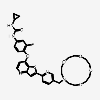 O=C(Nc1ccc(Oc2ccnc3cc(-c4ccc(CN5CCOCCOCCOCCOCC5)cn4)sc23)c(F)c1)NC1CC1